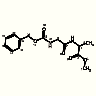 COC(=O)C(C)NC(=O)CNC(=O)OCc1ccccc1